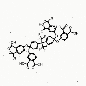 O=C(O)c1ccc(OC2(Oc3ccc(C(=O)O)c(C(=O)O)c3)C=CC(C(C3=CCC(Oc4ccc(C(=O)O)c(C(=O)O)c4)(Oc4ccc(C(=O)O)c(C(=O)O)c4)C=C3)(C(F)(F)F)C(F)(F)F)=CC2)cc1C(=O)O